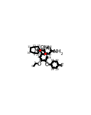 CCOc1cc(C(=O)N2C3CCC2CC(c2ccc(N)nn2)C3)ncc1Oc1ccc(F)cc1